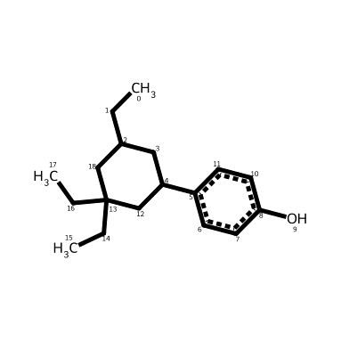 CCC1CC(c2ccc(O)cc2)CC(CC)(CC)C1